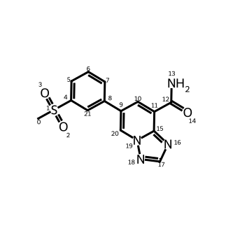 CS(=O)(=O)c1cccc(-c2cc(C(N)=O)c3n[c]nn3c2)c1